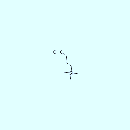 C[Si](C)(C)CCC[C]=O